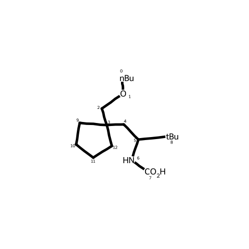 CCCCOCC1(CC(NC(=O)O)C(C)(C)C)CCCC1